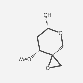 CO[C@@H]1C[C@H](O)OC[C@@]12CO2